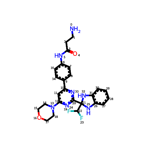 NCCC(=O)Nc1ccc(-c2cc(N3CCOCC3)nc(C3(C(F)F)Nc4ccccc4N3)n2)cc1